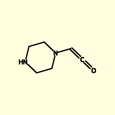 O=C=CN1CCNCC1